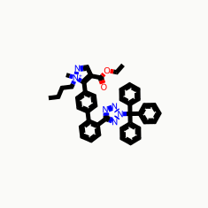 CCCC[N+]1(C)N=CC(C(=O)OCC)=C1c1ccc(-c2ccccc2-c2nnn(C(c3ccccc3)(c3ccccc3)c3ccccc3)n2)cc1